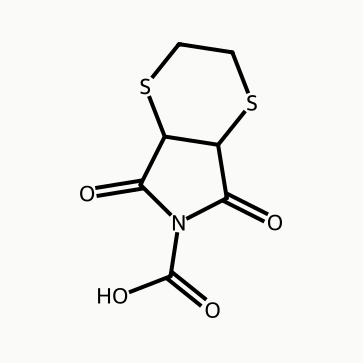 O=C(O)N1C(=O)C2SCCSC2C1=O